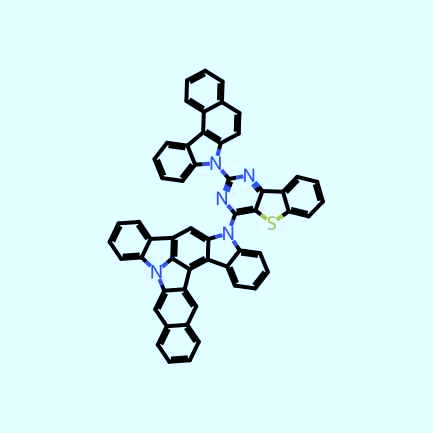 c1ccc2cc3c(cc2c1)c1c2c4ccccc4n(-c4nc(-n5c6ccccc6c6c7ccccc7ccc65)nc5c4sc4ccccc45)c2cc2c4ccccc4n3c21